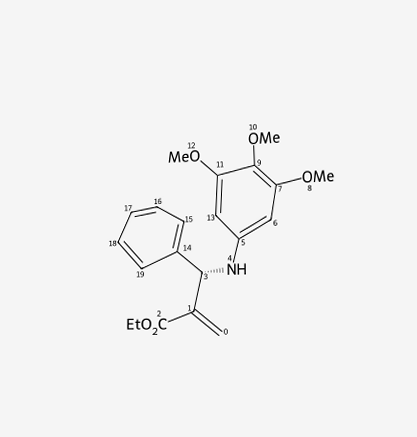 C=C(C(=O)OCC)[C@@H](Nc1cc(OC)c(OC)c(OC)c1)c1ccccc1